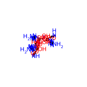 CNC(=O)CCOC1[C@@H](O)[C@@H](COP(=O)(O)O[C@@H]2C(OCCC(=O)NC)[C@H](n3cnc4c(N)ncnc43)O[C@@H]2COP(=O)(O)O[C@@H]2C(OCCC(=O)NC)[C@H](n3cnc4c(N)ncnc43)O[C@@H]2CO)O[C@H]1n1cnc2c(N)ncnc21